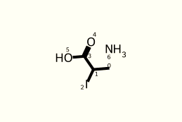 CC(I)C(=O)O.N